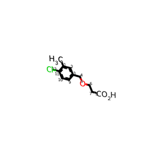 Cc1cc(COCCC(=O)O)ccc1Cl